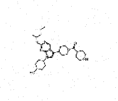 CCCC(C)Nc1ncc2c(C3CCN(C(=O)C4CCNCC4)CC3)cn(C3CCC(O)CC3)c2n1